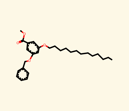 CCCCCCCCCCCCCOc1cc(OCc2ccccc2)cc(C(=O)OC)c1